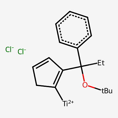 CCC(OC(C)(C)C)(C1=[C]([Ti+2])CC=C1)c1ccccc1.[Cl-].[Cl-]